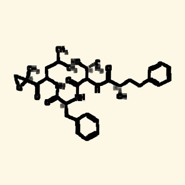 CC(C)CC(NC(=O)[C@H](Cc1ccccc1)NC(=O)C(NC(=O)[C@@H](O)CCc1ccccc1)[C@@H](C)O)C(=O)[C@@]1(C)CO1